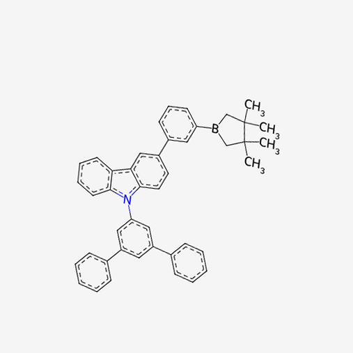 CC1(C)CB(c2cccc(-c3ccc4c(c3)c3ccccc3n4-c3cc(-c4ccccc4)cc(-c4ccccc4)c3)c2)CC1(C)C